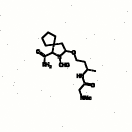 CNCC(=O)NC(C)CCOC1CC2(CCCC2)C(C(N)=O)N1C=O